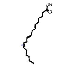 CCCCC/C=C\CC=CCC=CCCCCC(=O)O